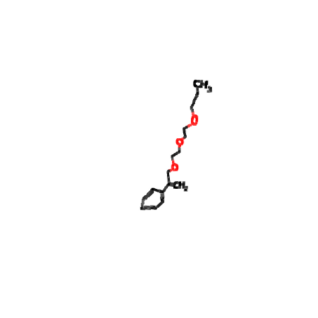 C=C(COCCOCCOCCC)c1ccccc1